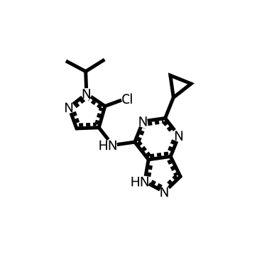 CC(C)n1ncc(Nc2nc(C3CC3)nc3cn[nH]c23)c1Cl